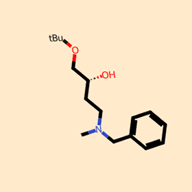 CN(CC[C@@H](O)COC(C)(C)C)Cc1ccccc1